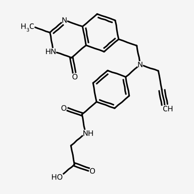 C#CCN(Cc1ccc2nc(C)[nH]c(=O)c2c1)c1ccc(C(=O)NCC(=O)O)cc1